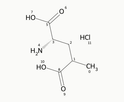 CC(C[C@H](N)C(=O)O)C(=O)O.Cl